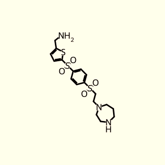 NCc1ccc(S(=O)(=O)c2ccc(S(=O)(=O)CCN3CCCNCC3)cc2)s1